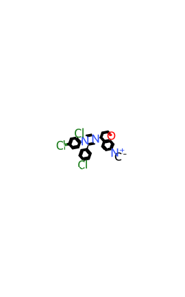 [C-]#[N+]c1ccc2c(c1)OCC[C@H]2N1CCN(c2ccc(Cl)cc2Cl)[C@H](c2ccc(Cl)cc2)C1